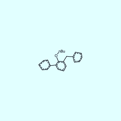 CCCCOc1c(Cc2ccccc2)cccc1-c1ccccc1